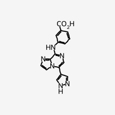 O=C(O)c1cccc(Nc2ncc(-c3cn[nH]c3)n3ccnc23)c1